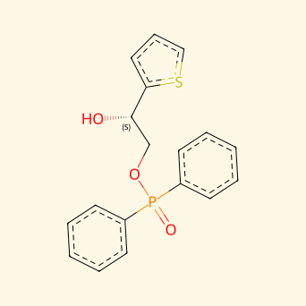 O=P(OC[C@H](O)c1cccs1)(c1ccccc1)c1ccccc1